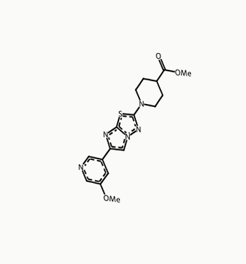 COC(=O)C1CCN(c2nn3cc(-c4cncc(OC)c4)nc3s2)CC1